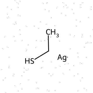 CCS.[Ag]